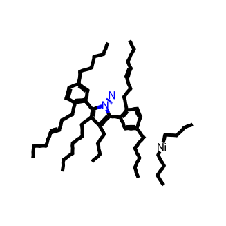 CCCC=CCCc1ccc(CCCCC)cc1C1=C(CCCC)C(CCCCCC)=C(c2cc(CCCCC)ccc2CCC=CCCC)[N+]1=[N-].CCC[CH2][Ni][CH2]CCC